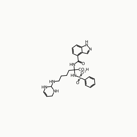 O=C(NC(CCCCNC1NC=CCN1)(NS(=O)(=O)c1ccccc1)C(=O)O)c1cccc2[nH]ncc12